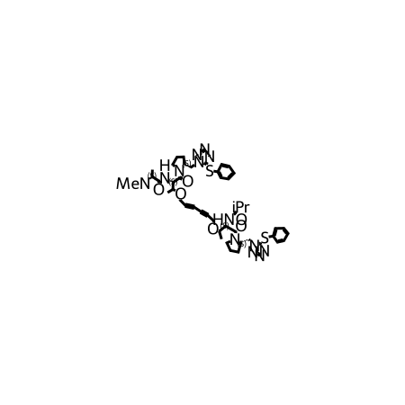 CN[C@@H](C)C(=O)N[C@H](C(=O)N1CCC[C@H]1Cn1nnnc1Sc1ccccc1)C(C)OCC#CC#CCOC(C)[C@H](NC(=O)C(C)C)C(=O)N1CCC[C@H]1Cn1nnnc1Sc1ccccc1